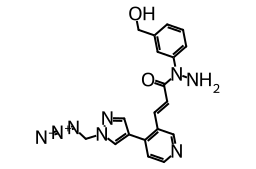 [N-]=[N+]=NCn1cc(-c2ccncc2/C=C/C(=O)N(N)c2cccc(CO)c2)cn1